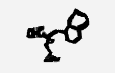 CC(C)(C)COC(C=O)Cc1cccc2ccccc12